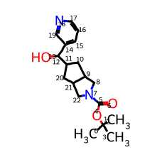 CC(C)(C)OC(=O)N1CC2CC(C(O)c3cccnc3)CC2C1